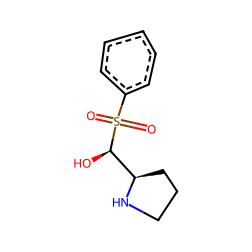 O=S(=O)(c1ccccc1)[C@H](O)[C@H]1CCCN1